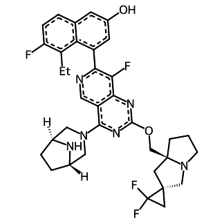 CCc1c(F)ccc2cc(O)cc(-c3ncc4c(N5C[C@@H]6CC[C@@H](C5)N6)nc(OC[C@@]56CCCN5C[C@@]5(CC5(F)F)C6)nc4c3F)c12